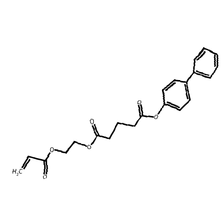 C=CC(=O)OCCOC(=O)CCCC(=O)Oc1ccc(-c2ccccc2)cc1